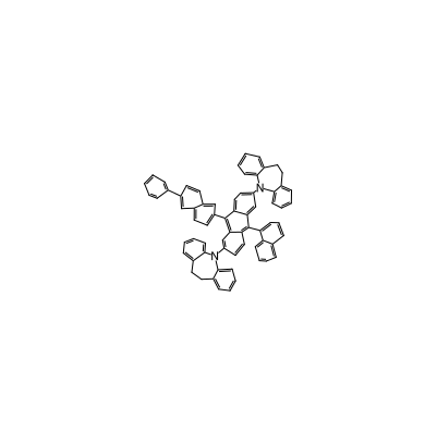 c1ccc(-c2ccc3cc(-c4c5cc(N6c7ccccc7CCc7ccccc76)ccc5c(-c5cccc6ccccc56)c5cc(N6c7ccccc7CCc7ccccc76)ccc45)ccc3c2)cc1